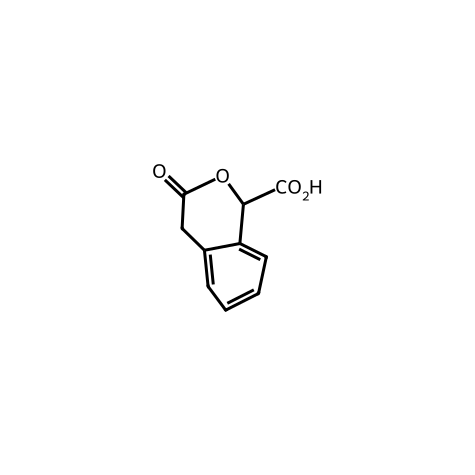 O=C1Cc2ccccc2C(C(=O)O)O1